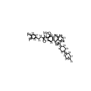 COc1cc(-c2nn(C3CCC(N4CCN(C)CC4)CC3)c3ncnc(N)c23)ccc1NC(=O)CCc1ccc(F)c(F)c1